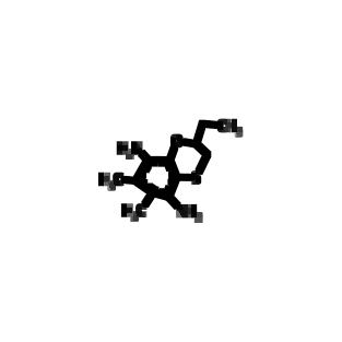 CCC1CSc2c(N)c(C)c(C)c(N)c2O1